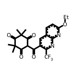 CCOc1ccc2cc(C(=O)C3C(=O)C(C)(C)C(=O)C(C)(C)C3=O)c(C(F)(F)F)nc2n1